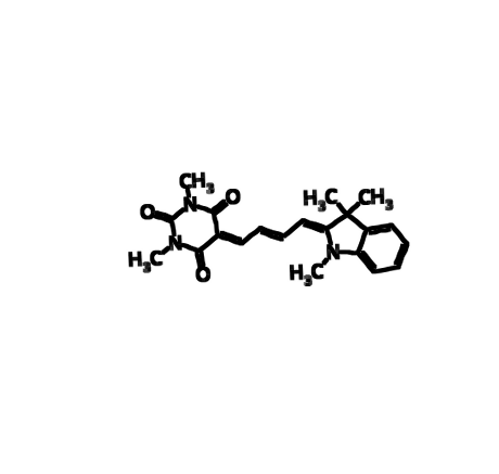 CN1C(=O)C(=CC=CC=C2N(C)c3ccccc3C2(C)C)C(=O)N(C)C1=O